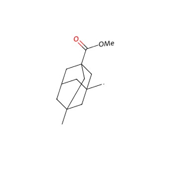 [CH2]C12CC3CC(C)(C1)CC(C(=O)OC)(C3)C2